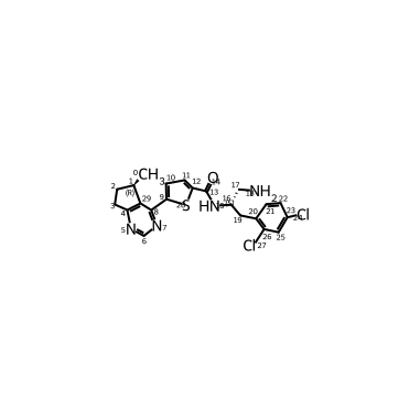 C[C@@H]1CCc2ncnc(-c3ccc(C(=O)N[C@H](CN)Cc4ccc(Cl)cc4Cl)s3)c21